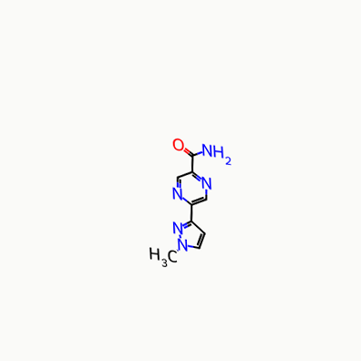 Cn1ccc(-c2cnc(C(N)=O)cn2)n1